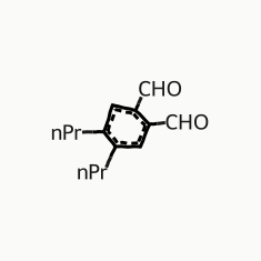 CCCc1cc(C=O)c(C=O)cc1CCC